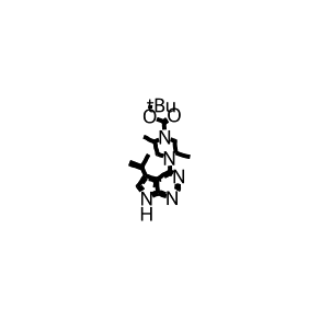 C=C(C)c1c[nH]c2ncnc(N3CC(C)N(C(=O)OC(C)(C)C)CC3C)c12